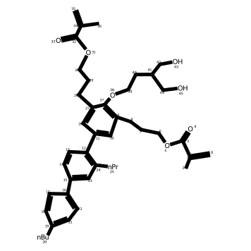 C=C(C)C(=O)OCCCc1cc(-c2ccc(-c3ccc(CCCC)cc3)cc2CCC)cc(CCCOC(=O)C(=C)C)c1OCCC(CO)CO